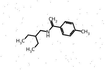 C=C(NCC(CC)CC)c1ccc(C)cc1